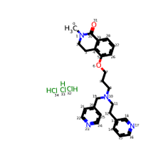 CN1CCc2c(OCCCN(CCc3cccnc3)Cc3ccncc3)cccc2C1=O.Cl.Cl.Cl